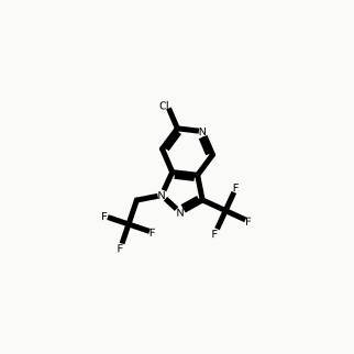 FC(F)(F)Cn1nc(C(F)(F)F)c2cnc(Cl)cc21